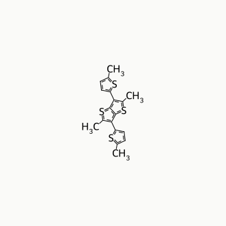 Cc1ccc(-c2c(C)sc3c(-c4ccc(C)s4)c(C)sc23)s1